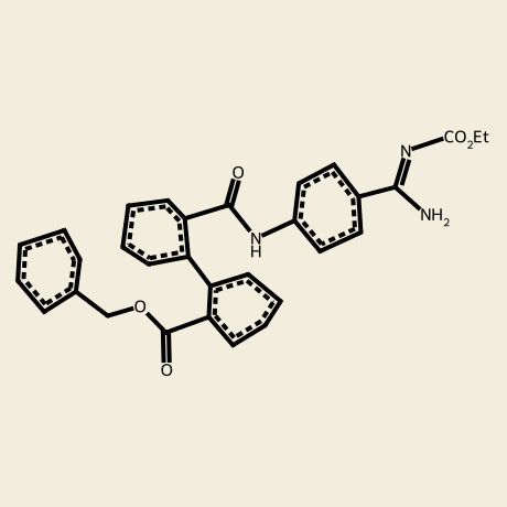 CCOC(=O)N=C(N)c1ccc(NC(=O)c2ccccc2-c2ccccc2C(=O)OCc2ccccc2)cc1